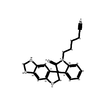 N#CCCCCN1C(=O)C2(COc3cc4c(cc32)OCO4)c2ccccc21